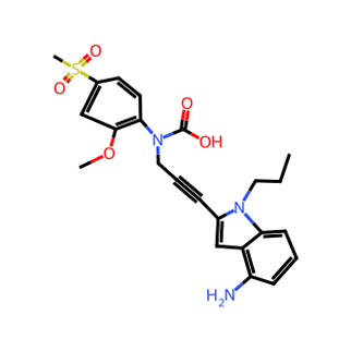 CCCn1c(C#CCN(C(=O)O)c2ccc(S(C)(=O)=O)cc2OC)cc2c(N)cccc21